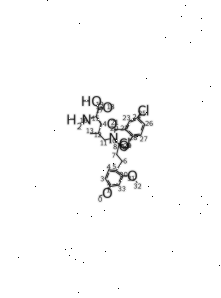 COc1ccc(CCC(=O)N(CC(C)C[C@@H](N)C(=O)O)C(=O)c2cc(Cl)ccc2Cl)c(OC)c1